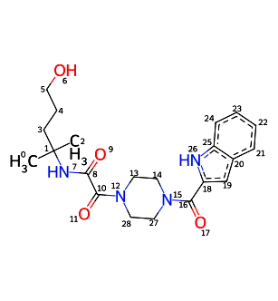 CC(C)(CCCO)NC(=O)C(=O)N1CCN(C(=O)c2cc3ccccc3[nH]2)CC1